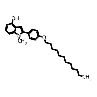 CCCCCCCCCCCCOc1ccc(-c2cc3c(O)cccc3n2C)cc1